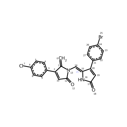 C=C1C(c2ccc(Cl)cc2)=CC(=O)N1/C=C1\NC(=O)C=C1c1ccc(Br)cc1